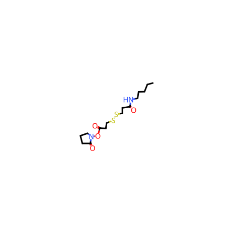 CCCCCNC(=O)CCSSCCC(=O)ON1CCCC1=O